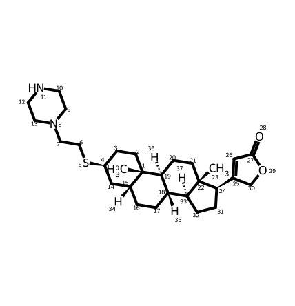 C[C@]12CC[C@H](SCCN3CCNCC3)C[C@H]1CC[C@@H]1[C@@H]2CC[C@]2(C)[C@@H](C3=CC(=O)OC3)CC[C@@H]12